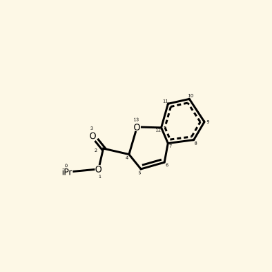 CC(C)OC(=O)C1C=Cc2ccccc2O1